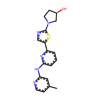 Cc1ccnc(Nc2cccc(-c3cnc(N4CC[C@@H](O)C4)s3)n2)c1